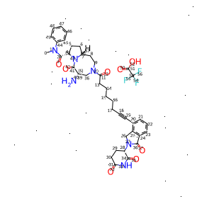 CN(C(=O)[C@@H]1CC[C@@H]2CCN(C(=O)CCCCCC#Cc3cccc4c3CN(C3CCC(=O)NC3=O)C4=O)C[C@H](N)C(=O)N21)c1ccccc1.O=C(O)C(F)(F)F